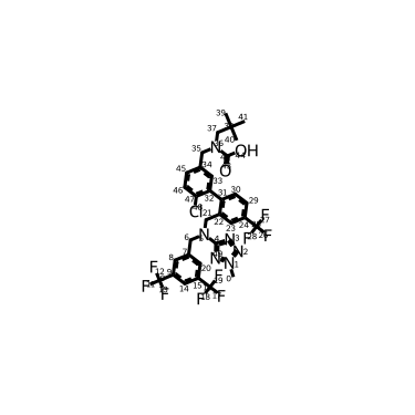 Cn1nnc(N(Cc2cc(C(F)(F)F)cc(C(F)(F)F)c2)Cc2cc(C(F)(F)F)ccc2-c2cc(CN(CC(C)(C)C)C(=O)O)ccc2Cl)n1